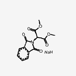 COC(=O)C(C(=O)OC)N1C(=O)c2ccccc2C1=O.[NaH]